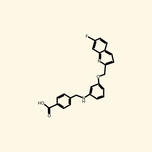 O=C(O)c1ccc(CNc2cccc(OCc3ccc4ccc(F)cc4n3)c2)cc1